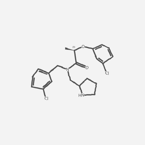 C[C@@H](Oc1cccc(Cl)c1)C(=O)N(Cc1cccc(Cl)c1)CC1CCCN1